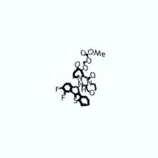 COC(=O)OCOc1c2n(ccc1=O)N([C@H]1c3ccc(F)c(F)c3-c3sc4ccccc4c31)[C@@H]1COCCN1C2=O